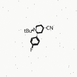 CC(C)(C)N1CC[C@H](C#N)C[C@@H]1c1ccc(F)cc1